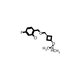 C[SiH](C)O[C@H]1C[C@@H](COCc2ccc(F)cc2Cl)C1